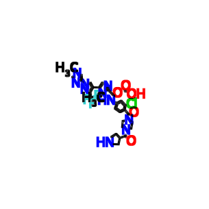 Cn1cnc(-n2cc(-c3cnc(C(=O)Nc4ccc(C(=O)N5CCN(C(=O)C6CCNCC6)CC5)c(Cl)c4)n3C)c(C(F)(F)F)n2)c1.O=CO